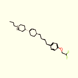 CCC[SiH]1CCC([C@H]2CC[C@H](CCCCc3ccc(OCC(F)F)cc3)CC2)CC1